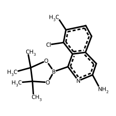 Cc1ccc2cc(N)nc(B3OC(C)(C)C(C)(C)O3)c2c1Cl